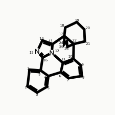 c1ccc2c(c1)c1cccc3c1n1c(cnc21)C12CCCCC31CCC2